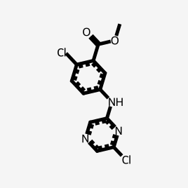 COC(=O)c1cc(Nc2cncc(Cl)n2)ccc1Cl